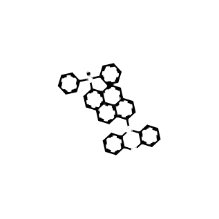 O=P(c1ccccc1)(c1ccccc1)c1ccc2ccc3c(N4c5ccccc5Sc5ccccc54)ccc4ccc1c2c43